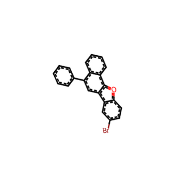 Brc1ccc2oc3c4ccccc4c(-c4ccccc4)cc3c2c1